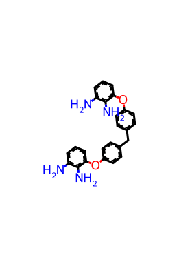 Nc1cccc(Oc2ccc(Cc3ccc(Oc4cccc(N)c4N)cc3)cc2)c1N